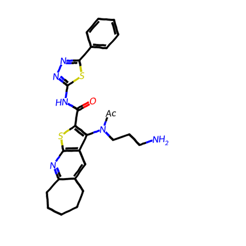 CC(=O)N(CCCN)c1c(C(=O)Nc2nnc(-c3ccccc3)s2)sc2nc3c(cc12)CCCCC3